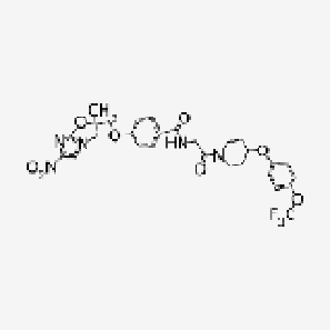 CC1(COc2ccc(C(=O)NCC(=O)N3CCC(Oc4ccc(OC(F)(F)F)cc4)CC3)cc2)Cn2cc([N+](=O)[O-])nc2O1